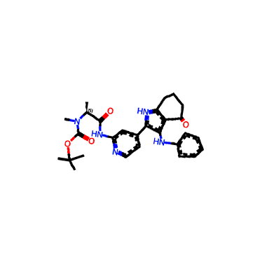 C[C@@H](C(=O)Nc1cc(-c2[nH]c3c(c2Nc2ccccc2)C(=O)CCC3)ccn1)N(C)C(=O)OC(C)(C)C